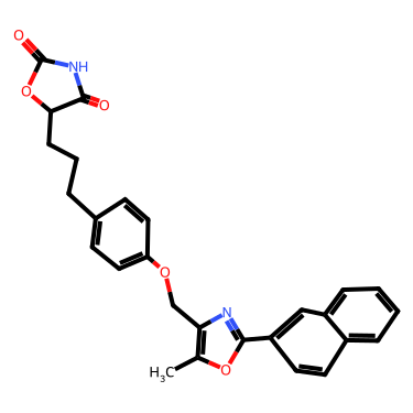 Cc1oc(-c2ccc3ccccc3c2)nc1COc1ccc(CCCC2OC(=O)NC2=O)cc1